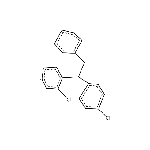 Clc1ccc(C(Cc2ccccc2)c2cc[c]cc2Cl)cc1